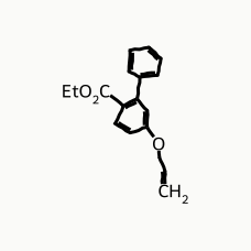 C=CCOc1ccc(C(=O)OCC)c(-c2ccccc2)c1